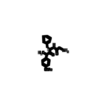 COc1ccc(N(C)C(=O)[C@H](Cc2ccccc2)NC(=O)CN)cc1